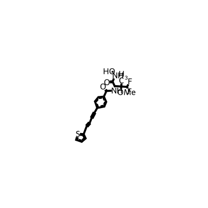 COC(C)(C(F)F)[C@H](NC(=O)c1ccc(C#CC#Cc2cccs2)cc1)C(=O)NO